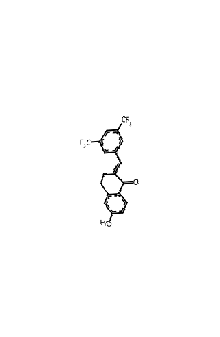 O=C1/C(=C/c2cc(C(F)(F)F)cc(C(F)(F)F)c2)CCc2cc(O)ccc21